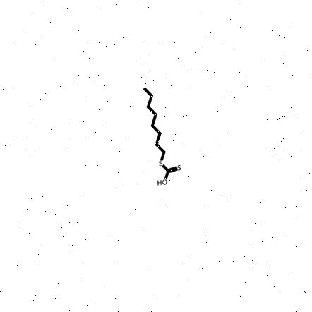 CCCCCCCCSC(O)=S